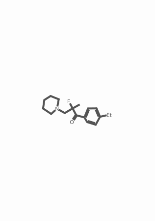 CCc1ccc(C(=O)C(C)(F)CN2CCCCC2)cc1